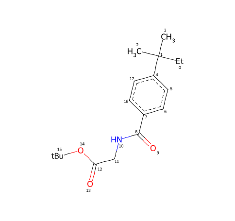 CCC(C)(C)c1ccc(C(=O)NCC(=O)OC(C)(C)C)cc1